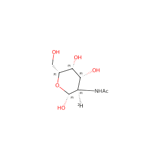 [2H][C@]1(NC(C)=O)[C@H](O)O[C@H](CO)[C@H](O)[C@@H]1O